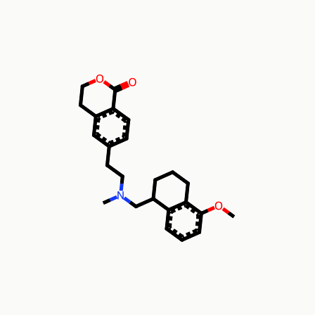 COc1cccc2c1CCCC2CN(C)CCc1ccc2c(c1)CCOC2=O